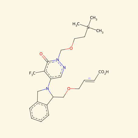 C[Si](C)(C)CCOCn1ncc(N2Cc3ccccc3C2COC/C=C/C(=O)O)c(C(F)(F)F)c1=O